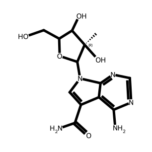 C[C@@]1(O)C(O)C(CO)OC1n1cc(C(N)=O)c2c(N)ncnc21